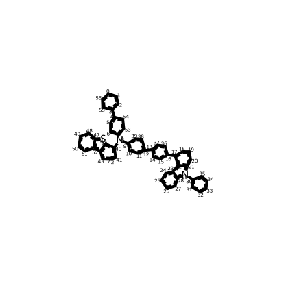 c1ccc(-c2ccc(N(c3ccc(-c4ccc(-c5cccc6c5c5ccccc5n6-c5ccccc5)cc4)cc3)c3cccc4c3sc3ccccc34)cc2)cc1